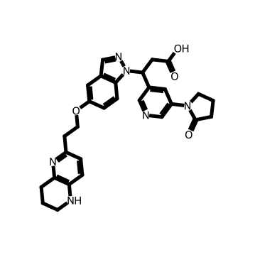 O=C(O)CC(c1cncc(N2CCCC2=O)c1)n1ncc2cc(OCCc3ccc4c(n3)CCCN4)ccc21